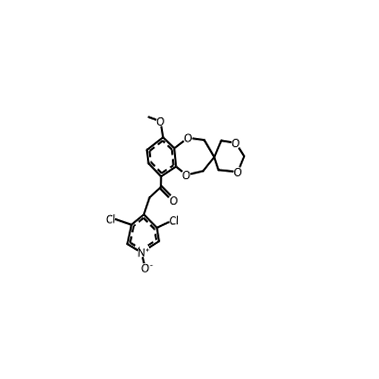 COc1ccc(C(=O)Cc2c(Cl)c[n+]([O-])cc2Cl)c2c1OCC1(COCOC1)CO2